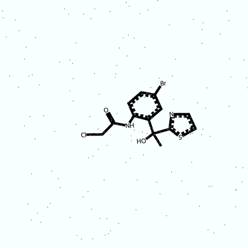 CC(O)(c1nccs1)c1cc(Br)ccc1NC(=O)CCl